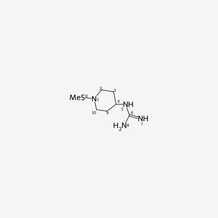 CSN1CCC(NC(=N)N)CC1